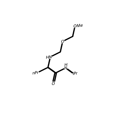 CCCC(NCOCOC)C(=O)NC(C)C